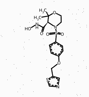 CC1(C)OCCN(S(=O)(=O)c2ccc(OCc3cncs3)cc2)[C@H]1C(=O)NO